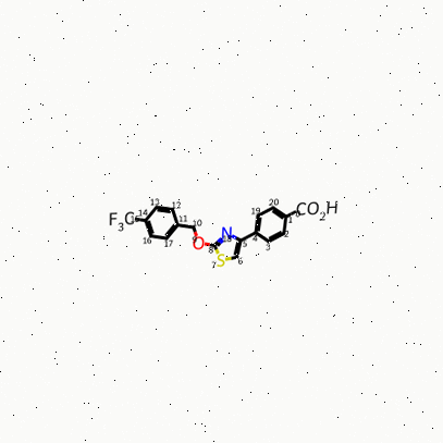 O=C(O)c1ccc(-c2csc(OCc3ccc(C(F)(F)F)cc3)n2)cc1